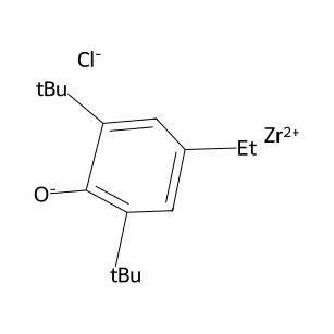 CCc1cc(C(C)(C)C)c([O-])c(C(C)(C)C)c1.[Cl-].[Zr+2]